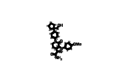 COc1ccc(-n2nc(C(N)=O)c3c2C(=O)N(c2ccc(C4(CO)CCCC4)cc2)CC3)cc1